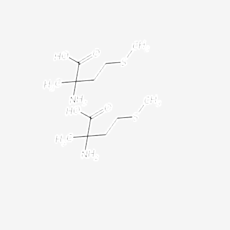 CSCCC(C)(N)C(=O)O.CSCCC(C)(N)C(=O)O